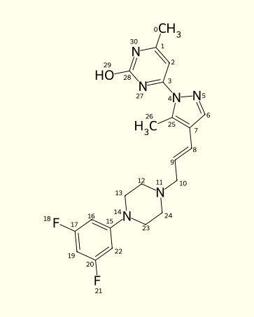 Cc1cc(-n2ncc(C=CCN3CCN(c4cc(F)cc(F)c4)CC3)c2C)nc(O)n1